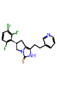 Fc1ccc(Br)c(F)c1[C@H]1Cc2c(CCc3cccnc3)[nH]c(=S)n2C1